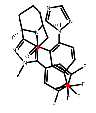 Cn1nc2c(c1-c1cc(F)c(F)c(F)c1)C[C@@H]1CCC[C@H]2N1C(=O)c1cc(C(F)(F)F)ccc1-n1cncn1